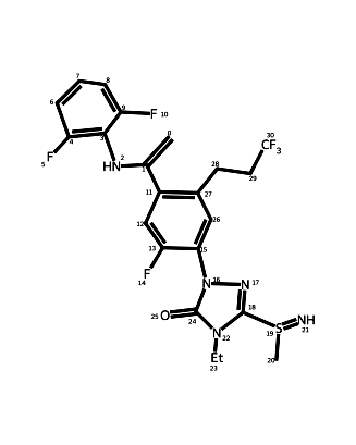 C=C(Nc1c(F)cccc1F)c1cc(F)c(-n2nc(S(C)=N)n(CC)c2=O)cc1CCC(F)(F)F